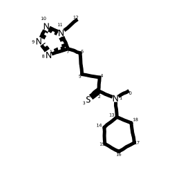 CN(C(=S)CCCc1nnnn1C)C1CCCCC1